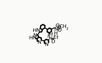 CCC(=O)Nc1cncc(-c2cc3c(-c4cc5c(-c6cc(F)cc(CNS(C)(=O)=O)c6)cccc5[nH]4)n[nH]c3cn2)c1